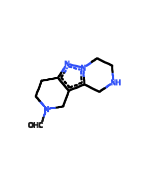 O=CN1CCc2nn3c(c2C1)CNCC3